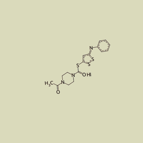 CC(=O)N1CCN(C(=O)Sc2cc(=Nc3ccccc3)ss2)CC1.I